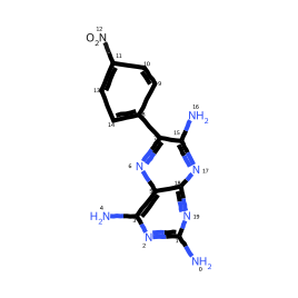 Nc1nc(N)c2nc(-c3ccc([N+](=O)[O-])cc3)c(N)nc2n1